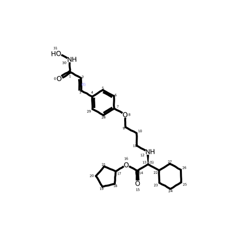 O=C(/C=C/c1ccc(OCCCN[C@H](C(=O)OC2CCCC2)C2CCCCC2)cc1)NO